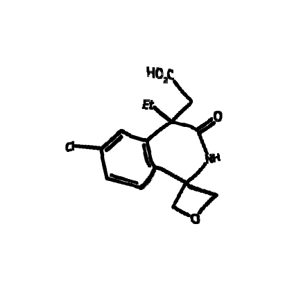 CCC1(CC(=O)O)C(=O)NC2(COC2)c2ccc(Cl)cc21